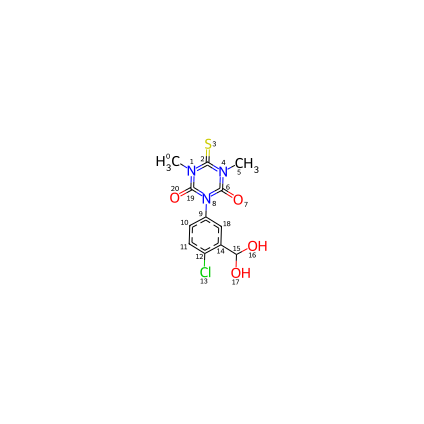 Cn1c(=S)n(C)c(=O)n(-c2ccc(Cl)c(C(O)O)c2)c1=O